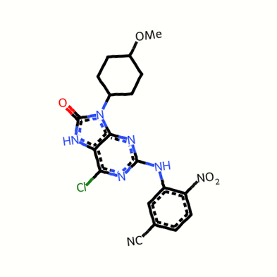 COC1CCC(n2c(=O)[nH]c3c(Cl)nc(Nc4cc(C#N)ccc4[N+](=O)[O-])nc32)CC1